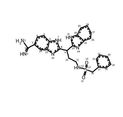 N=C(N)c1ccc2[nH]c(C(CCNS(=O)(=O)Cc3ccccc3)c3nc4ccccc4[nH]3)nc2c1